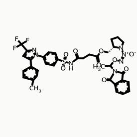 Cc1ccc(-c2cc(C(F)(F)F)nn2-c2ccc(S(=O)(=O)NC(=O)CCC(=O)OC[C@@H]3CCCN3/[N+]([O-])=N\OC(C)N3C(=O)c4ccccc4C3=O)cc2)cc1